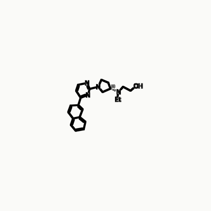 CCN(CCO)[C@H]1CCN(c2nccc(-c3ccc4ccccc4c3)n2)C1